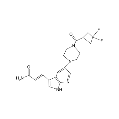 NC(=O)/C=C/c1c[nH]c2ncc(N3CCN(C(=O)C4CC(F)(F)C4)CC3)cc12